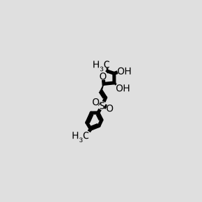 Cc1ccc(S(=O)(=O)C=C[C@H]2O[C@@H](C)C(O)[C@H]2O)cc1